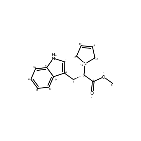 COC(=O)[C@H](Cc1c[nH]c2ccccc12)N1CC=CC1